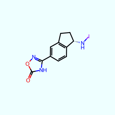 O=c1[nH]c(-c2ccc3c(c2)CC[C@@H]3NI)no1